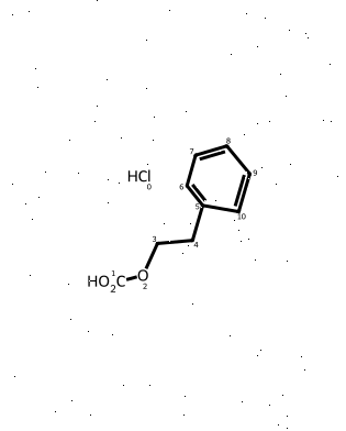 Cl.O=C(O)OCCc1ccccc1